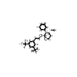 FC(F)(F)c1cc(CCO[C@H]2OCC[C@@H](CI)[C@@H]2c2ccccc2)cc(C(F)(F)F)c1